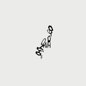 O=C(NC1CCN(CC2=Cc3ccccc3OC2)CC1)c1ccc(-c2cccc(F)c2)nc1